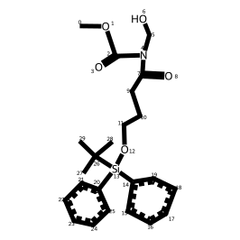 COC(=O)N(CO)C(=O)CCCO[Si](c1ccccc1)(c1ccccc1)C(C)(C)C